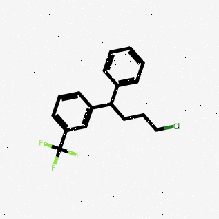 FC(F)(F)c1cccc(C(CCCCl)c2ccccc2)c1